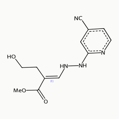 COC(=O)/C(=C/NNc1cc(C#N)ccn1)CCO